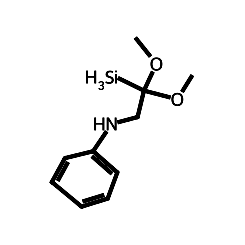 COC([SiH3])(CNc1ccccc1)OC